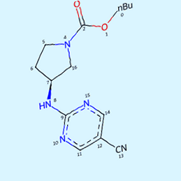 CCCCOC(=O)N1CC[C@H](Nc2ncc(C#N)cn2)C1